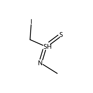 CN=[SH](=S)CI